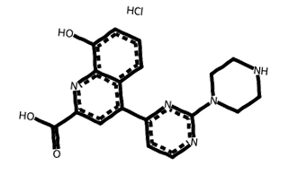 Cl.O=C(O)c1cc(-c2ccnc(N3CCNCC3)n2)c2cccc(O)c2n1